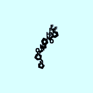 O=C(Nc1ccc2nn(CC(=O)N3CCC[C@H](CN4CCCC4)C3)cc2c1)c1cccc(C(F)(F)F)n1